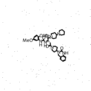 COc1ccc(OC)c(NC(=O)N[C@@H](CC(=O)N2CCC(N3Cc4ccccc4NC3=O)CC2)C(=O)N2CCC(N3CCCCC3)CC2)c1